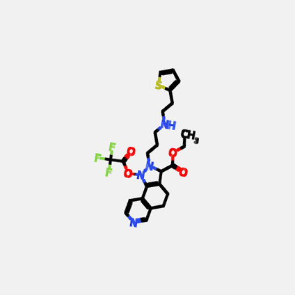 CCOC(=O)C1C2=C(c3ccncc3CC2)N(OC(=O)C(F)(F)F)N1CCCNCCc1cccs1